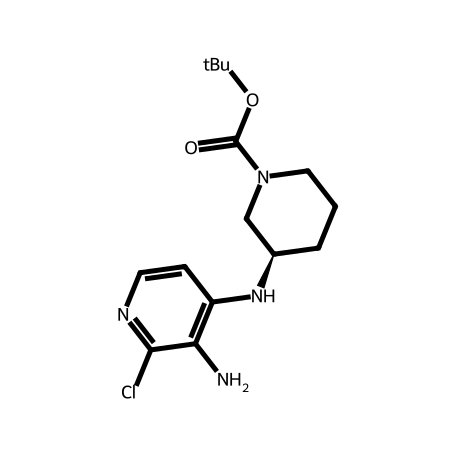 CC(C)(C)OC(=O)N1CCC[C@@H](Nc2ccnc(Cl)c2N)C1